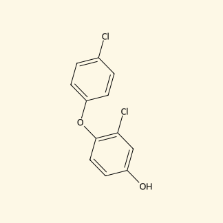 Oc1ccc(Oc2ccc(Cl)cc2)c(Cl)c1